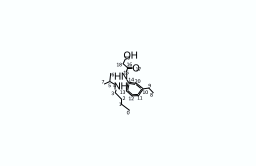 CCCCNC(C)C.CCc1cccc(NC(=O)CO)c1